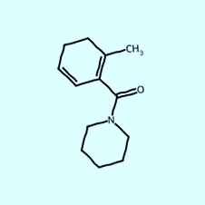 CC1=C(C(=O)N2CCCCC2)C=CCC1